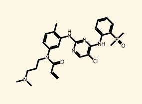 C=CC(=O)N(CCCN(C)C)c1ccc(C)c(Nc2ncc(Cl)c(Nc3ccccc3P(C)(C)=O)n2)c1